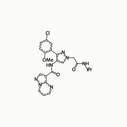 COc1ccc(Cl)cc1-c1nn(CC(=O)NC(C)C)cc1NC(=O)c1cnn2cccnc12